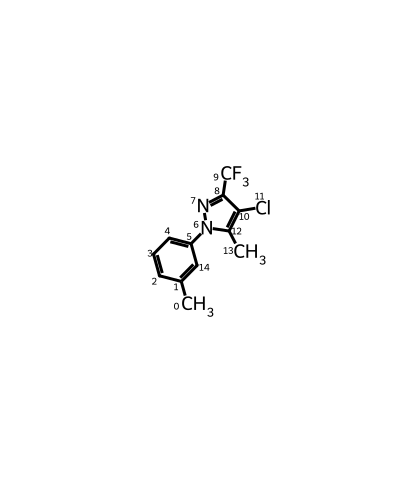 Cc1cccc(-n2nc(C(F)(F)F)c(Cl)c2C)c1